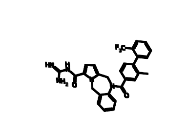 Cc1cc(C(=O)N2Cc3ccc(C(=O)NC(=N)N)n3Cc3ccccc32)ccc1-c1ccccc1C(F)(F)F